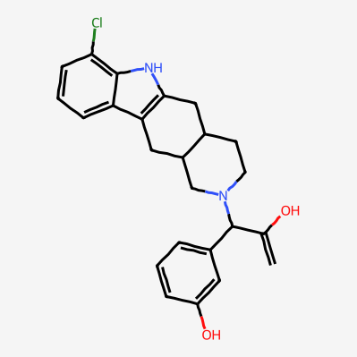 C=C(O)C(c1cccc(O)c1)N1CCC2Cc3[nH]c4c(Cl)cccc4c3CC2C1